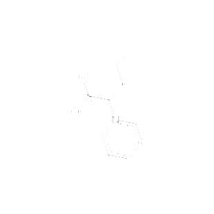 CCCC(C(=O)O)[n+]1ccccc1